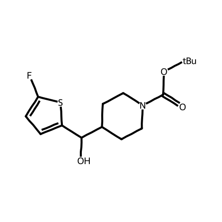 CC(C)(C)OC(=O)N1CCC(C(O)c2ccc(F)s2)CC1